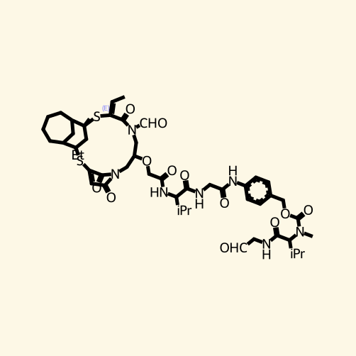 C/C=C1/SC2(C)CC(CC)(SC3=CC(=O)N(CC(OCC(=O)NC(C(=O)NCC(=O)Nc4ccc(COC(=O)N(C)C(C(=O)NCC=O)C(C)C)cc4)C(C)C)CN(C=O)C1=O)C3=O)C1CCCCC2C1